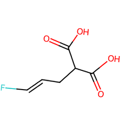 O=C(O)C(CC=CF)C(=O)O